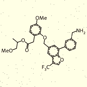 COCC(C)OC(=O)Cc1ccc(OC)cc1OCc1cc(-c2cccc(CN)c2)c2occ(C(F)(F)F)c2c1